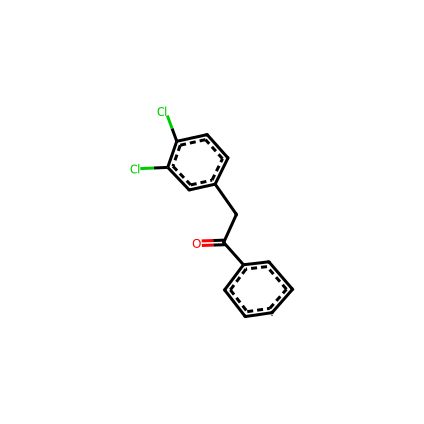 O=C(Cc1ccc(Cl)c(Cl)c1)c1cc[c]cc1